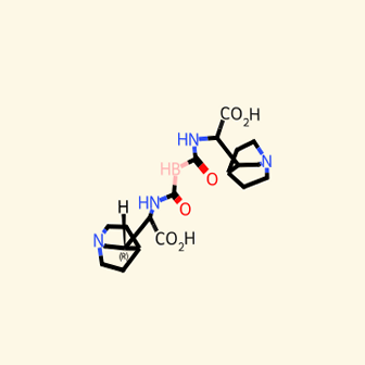 O=C(BC(=O)NC(C(=O)O)[C@H]1CN2CCC1CC2)NC(C(=O)O)C1CN2CCC1CC2